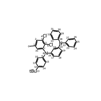 Cc1cc(Cl)c(Cl)c(N(c2ccc(C(C)(C)C)cc2)c2cccc(N(c3ccccc3)c3ccccc3)c2)c1